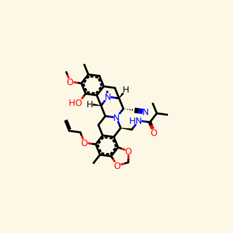 C=CCOc1c(C)c2c(c3c1CC1[C@@H]4c5c(cc(C)c(OC)c5O)C[C@H]([C@H](C#N)N1[C@H]3CNC(=O)C(C)C)N4C)OCO2